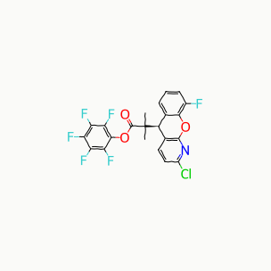 CC(C)(C(=O)Oc1c(F)c(F)c(F)c(F)c1F)[C@@H]1c2ccc(Cl)nc2Oc2c(F)cccc21